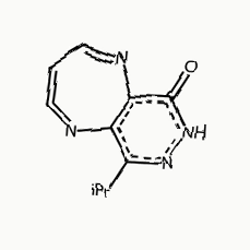 CC(C)c1n[nH]c(=O)c2c1N=C=CC=N2